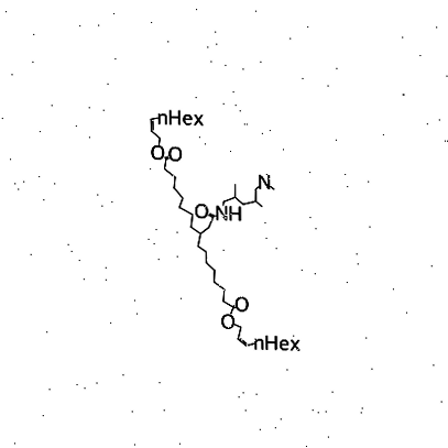 CCCCCC/C=C\COC(=O)CCCCCCCC(CCCCCCCC(=O)OC/C=C\CCCCCC)CC(=O)NCC(C)CC(C)CN(C)C